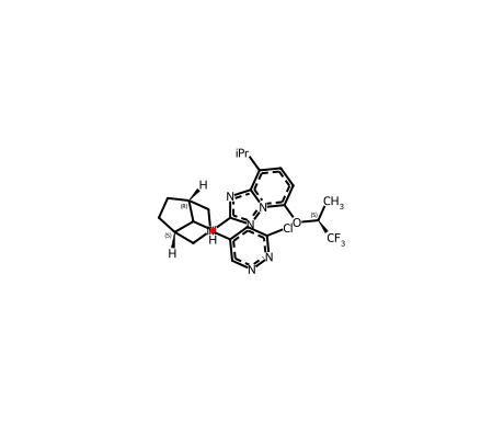 CC(C)c1ccc(O[C@@H](C)C(F)(F)F)n2nc(NC3[C@@H]4CC[C@H]3CN(c3cnnc(Cl)c3)C4)nc12